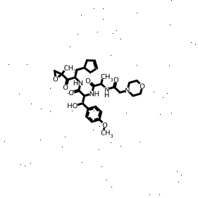 COc1ccc(C(O)C(NC(=O)C(C)NC(=O)CN2CCOCC2)C(=O)NC(CC2CC=CC2)C(=O)C2(C)CO2)cc1